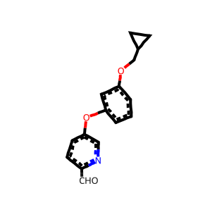 O=Cc1ccc(Oc2cccc(OCC3CC3)c2)cn1